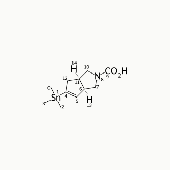 [CH3][Sn]([CH3])([CH3])[C]1=C[C@@H]2CN(C(=O)O)C[C@@H]2C1